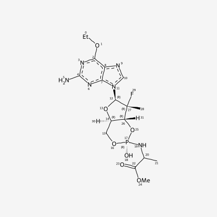 CCOc1nc(N)nc2c1ncn2[C@@H]1O[C@@H]2CO[P@](O)(NC(C)C(=O)OC)O[C@H]2[C@@]1(C)F